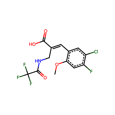 COc1cc(F)c(Cl)cc1C=C(CNC(=O)C(F)(F)F)C(=O)O